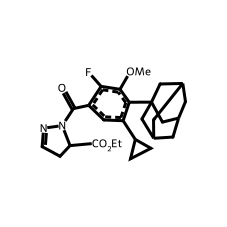 CCOC(=O)C1CC=NN1C(=O)c1cc(C2CC2)c(C23CC4CC(CC(C4)C2)C3)c(OC)c1F